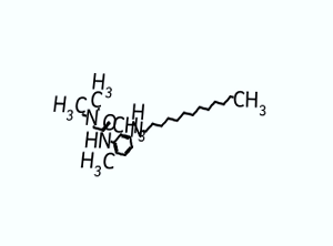 CCCCCCCCCCCCCNc1ccc(C)c(NC(=O)CN(CC)CC)c1C